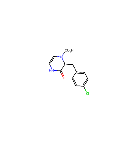 O=C1NC=CN(C(=O)O)[C@H]1Cc1ccc(Cl)cc1